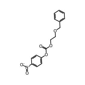 O=C(OCCOCc1ccccc1)Oc1ccc([N+](=O)[O-])cc1